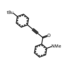 CNc1ccccc1C(=O)C#Cc1ccc(C(C)(C)C)cc1